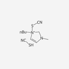 CCCC[N+]1(SC#N)C=CN(C)C1.N#CS